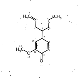 C=CCC(CCC)C1C=CC(=O)C(OC)=C1